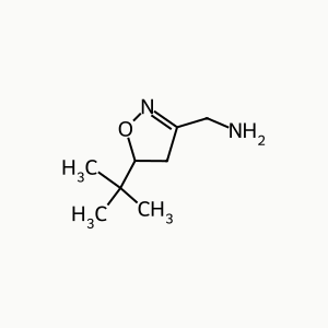 CC(C)(C)C1CC(CN)=NO1